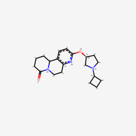 O=C1CCCC2c3ccc(O[C@H]4CCN(C5CCC5)C4)nc3CCN12